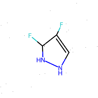 F[C]1NNC=C1F